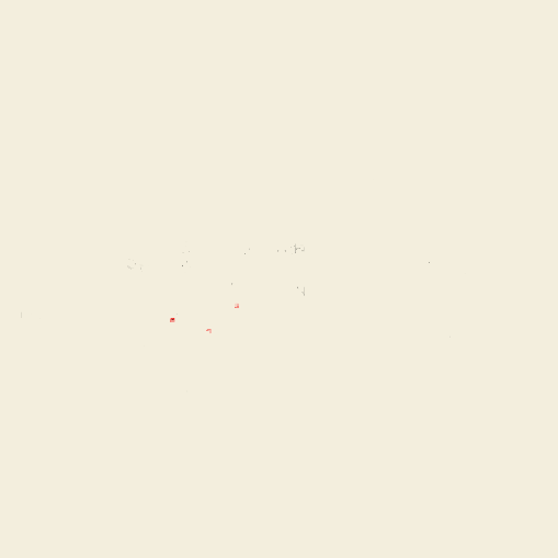 CC(C)(C)c1ccc2c(c1)C1(c3ccccc3Sc3ccc(N(c4ccc5c(c4)C(c4ccccc4)(c4ccccc4)c4ccccc4O5)c4ccccc4-c4cccc5oc6ccccc6c45)cc31)c1cc(C(C)(C)C)ccc1-2